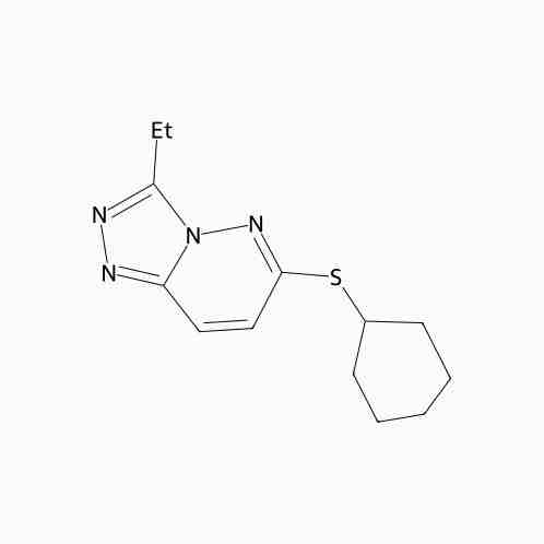 CCc1nnc2ccc(SC3CCCCC3)nn12